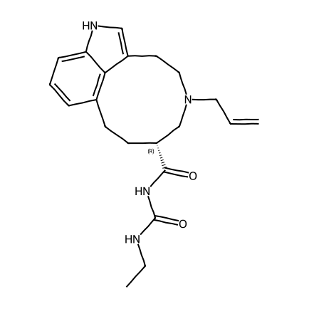 C=CCN1CCc2c[nH]c3cccc(c23)CC[C@@H](C(=O)NC(=O)NCC)C1